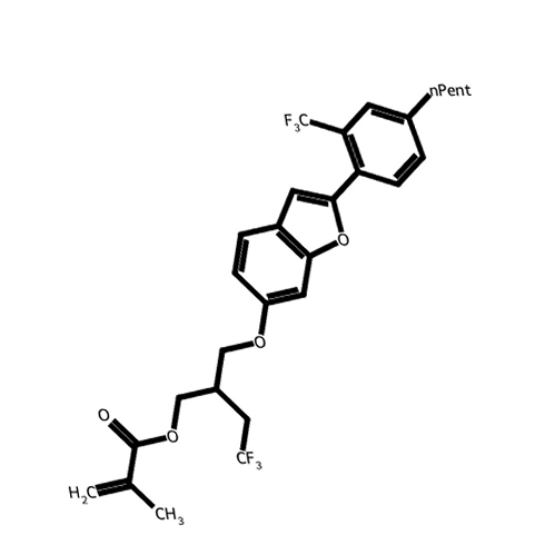 C=C(C)C(=O)OCC(COc1ccc2cc(-c3ccc(CCCCC)cc3C(F)(F)F)oc2c1)CC(F)(F)F